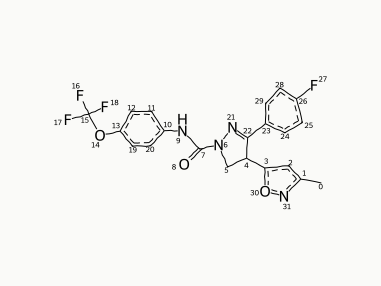 Cc1cc(C2CN(C(=O)Nc3ccc(OC(F)(F)F)cc3)N=C2c2ccc(F)cc2)on1